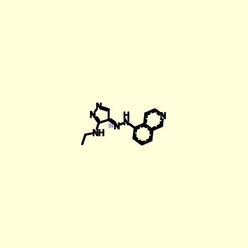 CCNC1=NN=C/C1=N\Nc1cccc2cnccc12